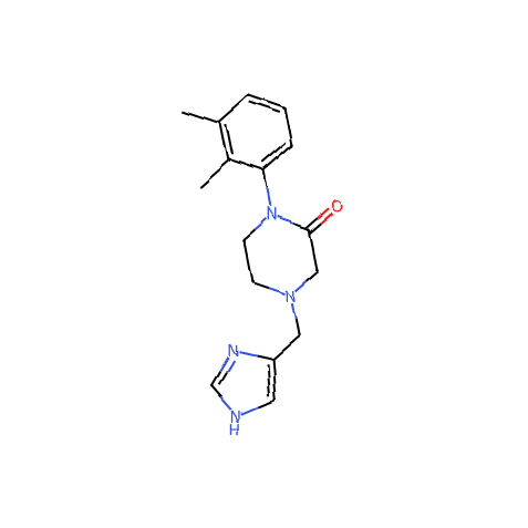 Cc1cccc(N2CCN(Cc3c[nH]cn3)CC2=O)c1C